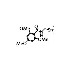 COc1cc(OC)c(C(=O)N[CH2][Sn])c(OC)c1